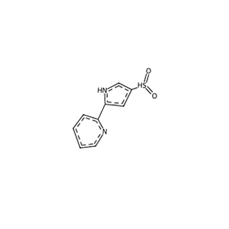 O=[SH](=O)c1c[nH]c(-c2ccccn2)c1